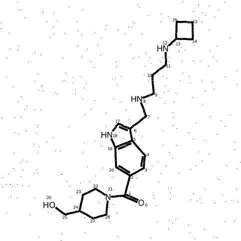 O=C(c1ccc2c(CNCCCNC3CCC3)c[nH]c2c1)N1CCC(CO)CC1